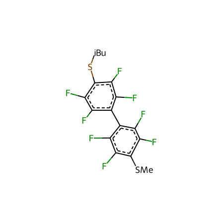 CCC(C)Sc1c(F)c(F)c(-c2c(F)c(F)c(SC)c(F)c2F)c(F)c1F